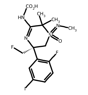 CN=S1(=O)C[C@@](CF)(c2cc(I)ccc2F)N=C(NC(=O)O)C1(C)C